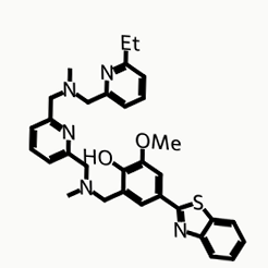 CCc1cccc(CN(C)Cc2cccc(CN(C)Cc3cc(-c4nc5ccccc5s4)cc(OC)c3O)n2)n1